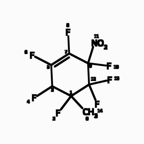 CC1(F)C(F)C(F)=C(F)C(F)([N+](=O)[O-])C1(F)F